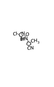 Cc1cc(C#N)ccc1CNC(=O)c1ncc(Cl)cc1Br